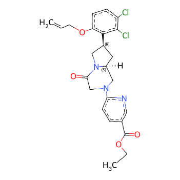 C=CCOc1ccc(Cl)c(Cl)c1[C@H]1C[C@H]2CN(c3ccc(C(=O)OCC)cn3)CC(=O)N2C1